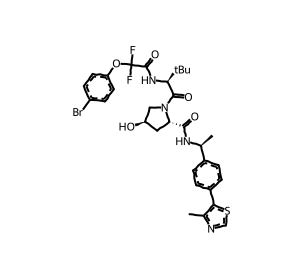 Cc1ncsc1-c1ccc([C@H](C)NC(=O)[C@@H]2C[C@@H](O)CN2C(=O)[C@@H](NC(=O)C(F)(F)Oc2ccc(Br)cc2)C(C)(C)C)cc1